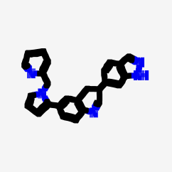 C1=Nc2ccc(-c3cccn3Cc3ccccn3)cc2CC1c1ccc2cn[nH]c2c1